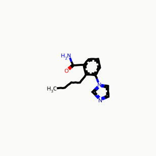 CCCCc1c(C(N)=O)cccc1-n1ccnc1